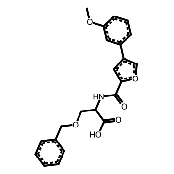 COc1cccc(-c2coc(C(=O)NC(COCc3ccccc3)C(=O)O)c2)c1